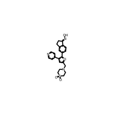 O=S1(=O)CCN(Cc2cc(-c3ccncc3)c(-c3ccc4c(c3)CCC4=NO)o2)CC1